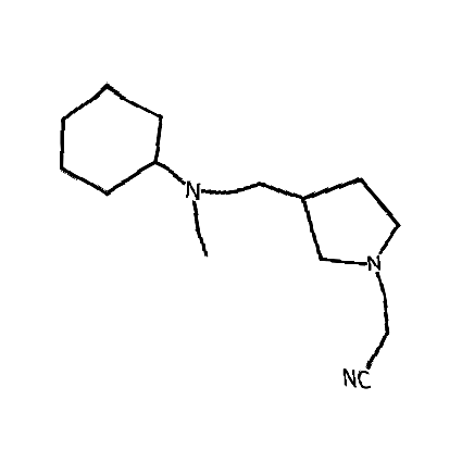 CN(CC1CCN(CC#N)C1)C1CCCCC1